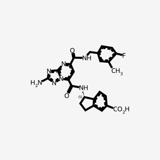 Cc1cc(CNC(=O)c2cc(C(=O)N[C@H]3CCc4cc(C(=O)O)ccc43)n3nc(N)nc3n2)ccc1F